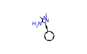 Cc1c(N)c(C#Cc2ccccccccc2)nn1I